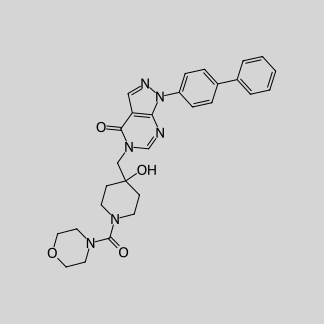 O=C(N1CCOCC1)N1CCC(O)(Cn2cnc3c(cnn3-c3ccc(-c4ccccc4)cc3)c2=O)CC1